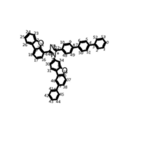 c1ccc(-c2ccc(-c3ccc(C4=NC(c5cccc6c5oc5ccccc56)=[N+]4c4ccc5c(c4)oc4ccc(-c6ccccc6)cc45)cc3)cc2)cc1